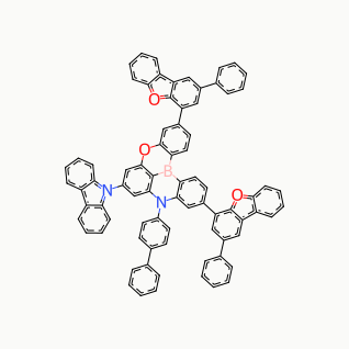 c1ccc(-c2ccc(N3c4cc(-c5cc(-c6ccccc6)cc6c5oc5ccccc56)ccc4B4c5ccc(-c6cc(-c7ccccc7)cc7c6oc6ccccc67)cc5Oc5cc(-n6c7ccccc7c7ccccc76)cc3c54)cc2)cc1